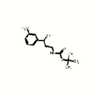 CC(C)(C)OC(=O)NCCC(O)c1cccc(N)c1